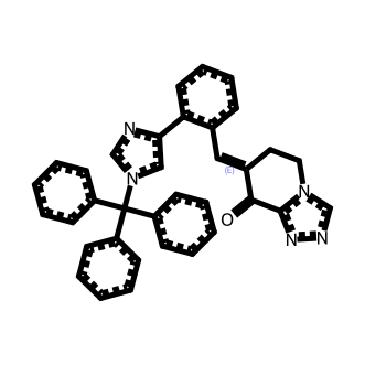 O=C1/C(=C/c2ccccc2-c2cn(C(c3ccccc3)(c3ccccc3)c3ccccc3)cn2)CCn2cnnc21